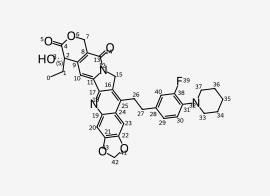 CC[C@@]1(O)C(=O)OCc2c1cc1n(c2=O)Cc2c-1nc1cc3c(cc1c2CCc1ccc(N2CCCCC2)c(F)c1)OCO3